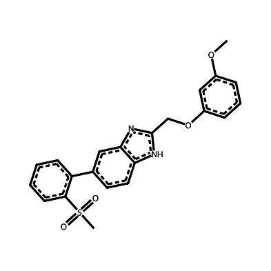 COc1cccc(OCc2nc3cc(-c4ccccc4S(C)(=O)=O)ccc3[nH]2)c1